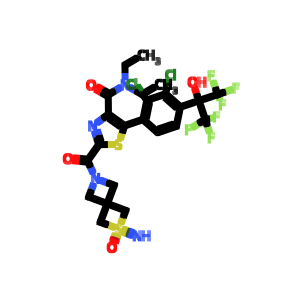 CCN(CC)C(=O)c1nc(C(=O)N2CC3(C2)CS(=N)(=O)C3)sc1-c1ccc(C(O)(C(F)(F)F)C(F)(F)F)c(Cl)c1Cl